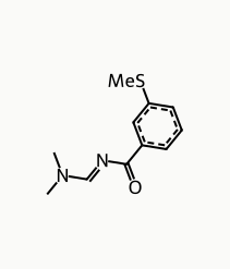 CSc1cccc(C(=O)/N=C/N(C)C)c1